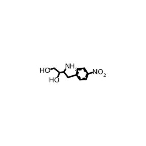 NC(Cc1ccc([N+](=O)[O-])cc1)C(O)CO